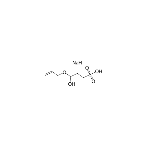 C=CCOC(O)CCS(=O)(=O)O.[NaH]